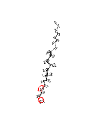 CCCCCC=CCC=CCCCCCCCCOCC=O